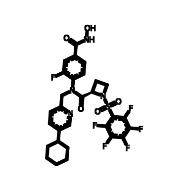 O=C(NO)c1ccc(N(Cc2ccc(C3CCCCC3)cn2)C(=O)[C@H]2CCN2S(=O)(=O)c2c(F)c(F)c(F)c(F)c2F)c(F)c1